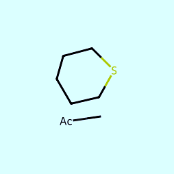 C1CCSCC1.CC(C)=O